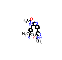 CC(=O)Nc1ccc(-c2ccc3ncc4c(c(-c5ccc(C(C)(C)C#N)cc5)nn4C(C)=O)c3c2)cn1